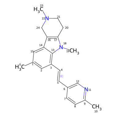 Cc1cc(/C=C/c2ccc(C)nc2)c2c(c1)c1c(n2C)CCN(C)C1